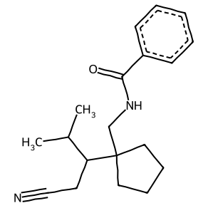 CC(C)C(CC#N)C1(CNC(=O)c2ccccc2)CCCC1